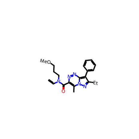 C=CN(CCCOC)C(=O)c1nnc2c(-c3ccccc3)c(CC)nn2c1C